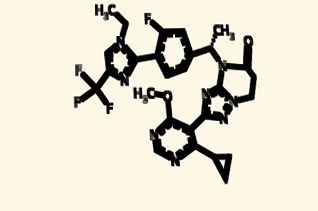 CCn1cc(C(F)(F)F)nc1-c1ccc([C@H](C)N2C(=O)CCn3nc(-c4c(OC)ncnc4C4CC4)nc32)cc1F